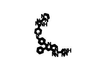 c1ccc(-c2cc3c(ccn4c(-c5c[nH]nn5)nnc34)nc2-c2ccc(CN3CCC(c4nnc(-c5ncccn5)[nH]4)CC3)cc2)cc1